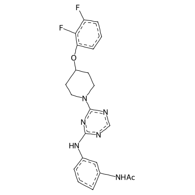 CC(=O)Nc1cccc(Nc2ncnc(N3CCC(Oc4cccc(F)c4F)CC3)n2)c1